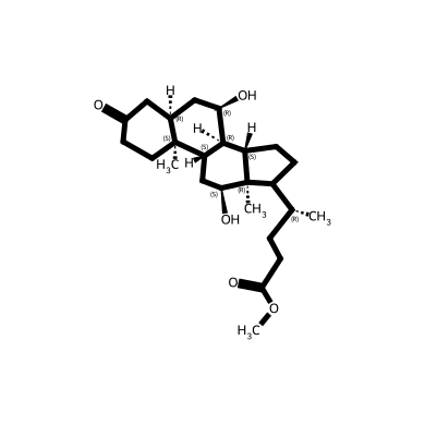 COC(=O)CC[C@@H](C)C1CC[C@H]2[C@@H]3[C@H](O)C[C@@H]4CC(=O)CC[C@]4(C)[C@H]3C[C@H](O)[C@]12C